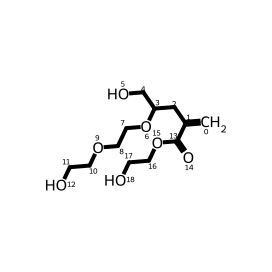 C=C(CC(CO)OCCOCCO)C(=O)OCCO